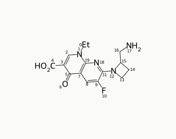 CCn1cc(C(=O)O)c(=O)c2cc(F)c(N3CCC3CN)nc21